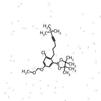 COCOc1cc(Cl)c(CCCC#C[Si](C)(C)C)c(B2OC(C)(C)C(C)(C)O2)c1